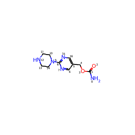 NC(=O)OCc1cnc(N2CCNCC2)nc1